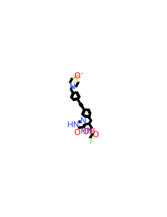 O=C(CF)NCC(Cc1ccc(C#Cc2ccc(CN3CC[S+]([O-])CC3)cc2)cc1)c1nc[nH]c(=O)c1O